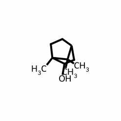 CC12CCC(C[C]1O)C2(C)C